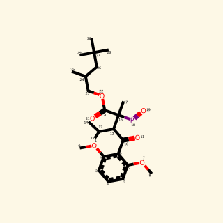 COc1cccc(OC)c1C(=O)C(C(C)C)C(C)(P=O)C(=O)OCC(C)CC(C)(C)C